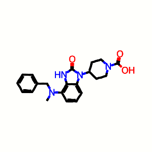 CN(Cc1ccccc1)c1cccc2c1[nH]c(=O)n2C1CCN(C(=O)O)CC1